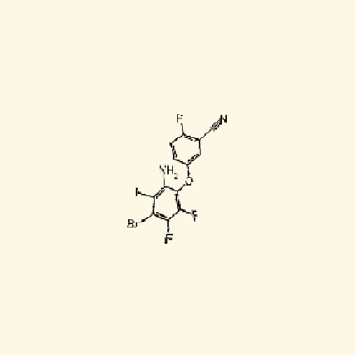 N#Cc1cc(Oc2c(N)c(I)c(Br)c(F)c2F)ccc1F